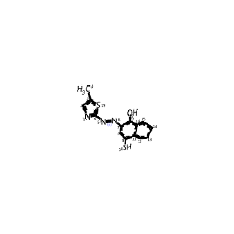 Cc1cnc(/N=N/c2cc(S)c3ccccc3c2O)s1